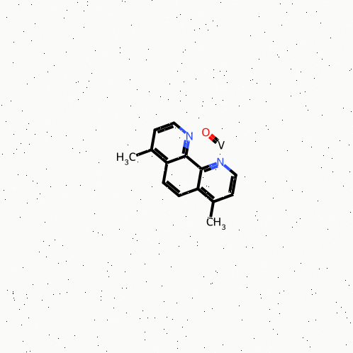 Cc1ccnc2c1ccc1c(C)ccnc12.[O]=[V]